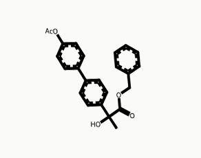 CC(=O)Oc1ccc(-c2ccc(C(C)(O)C(=O)OCc3ccccc3)cc2)cc1